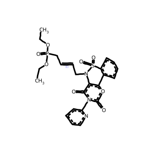 CCOP(=O)(C/C=C/CN1c2c(oc(=O)n(-c3ccccn3)c2=O)-c2ccccc2S1(=O)=O)OCC